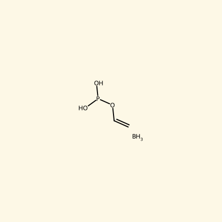 B.C=COP(O)O